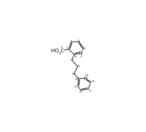 O=C(O)c1cccnc1CCCc1ccccn1